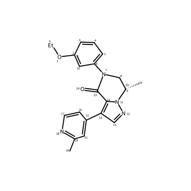 CCOc1cccc(N2C[C@H](C)n3ncc(-c4ccnc(C)c4)c3C2=O)c1